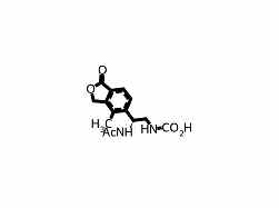 CC(=O)N[C@@H](CNC(=O)O)c1ccc2c(c1C)COC2=O